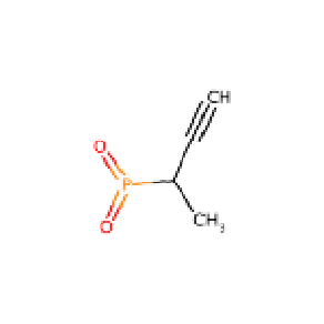 C#CC(C)P(=O)=O